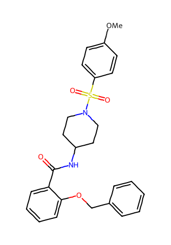 COc1ccc(S(=O)(=O)N2CCC(NC(=O)c3ccccc3OCc3ccccc3)CC2)cc1